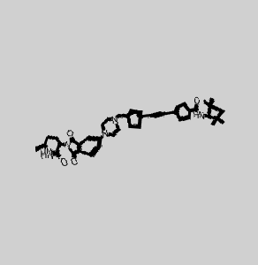 C=C1CCC(N2C(=O)c3ccc(N4CCN(CC56CCC(C#Cc7ccc(C(=O)NC8C(C)(C)CC8(C)C)cc7)(CC5)C6)CC4)cc3C2=O)C(=O)N1